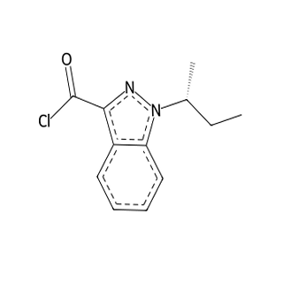 CC[C@@H](C)n1nc(C(=O)Cl)c2ccccc21